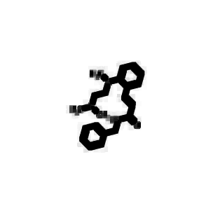 CN(C)CCN(C)c1ccccc1/C=C/C(=O)NCc1ccccc1